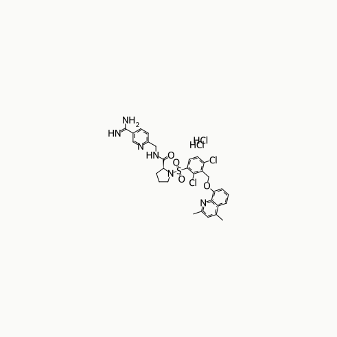 Cc1cc(C)c2cccc(OCc3c(Cl)ccc(S(=O)(=O)N4CCC[C@H]4C(=O)NCc4ccc(C(=N)N)cn4)c3Cl)c2n1.Cl.Cl